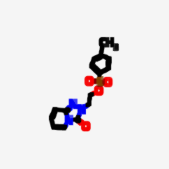 Cc1ccc(S(=O)(=O)OCCn2nc3ccccn3c2=O)cc1